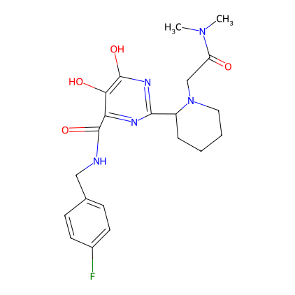 CN(C)C(=O)CN1CCCCC1c1nc(O)c(O)c(C(=O)NCc2ccc(F)cc2)n1